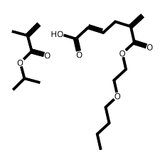 C=C(C)C(=O)OC(C)C.C=C(CC=CC(=O)O)C(=O)OCCOCCCC